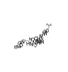 CC(C)(C)OC(=O)N1CC(CCC(Nc2cccc(SNc3ccc(-n4ccc(OCCC5C6(CC6)C56CC6)n4)nc3Cl)n2)c2cc(C(C)(C)C)ccn2)CC1(C)C